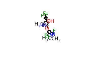 CC(C)n1nc(F)c2cc(OC[C@@H]3C[C@](O)(C45CC(C(F)(F)F)(C4)C5)C[C@H](C)N3)cc(C(F)(F)F)c21